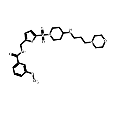 COc1cccc(C(=O)NCc2ccc(S(=O)(=O)N3CCC(NCCCN4CCOCC4)CC3)s2)c1